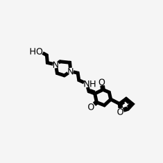 O=C1CC(c2ccco2)CC(=O)C1=CNCCN1CCN(CCO)CC1